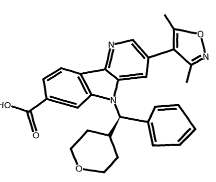 Cc1noc(C)c1-c1cnc2c3ccc(C(=O)O)cc3n([C@@H](c3ccccc3)C3CCOCC3)c2c1